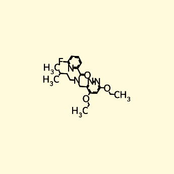 CCOc1cc(OCC)c(CN(CCC(C)C)C(=O)c2cccc(F)n2)nn1